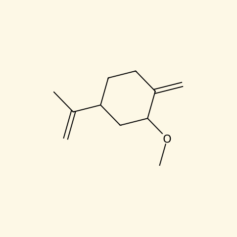 C=C(C)C1CCC(=C)C(OC)C1